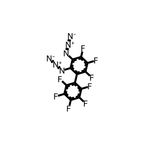 [N-]=[N+]=Nc1c(F)c(F)c(F)c(-c2c(F)c(F)c(F)c(F)c2F)c1N=[N+]=[N-]